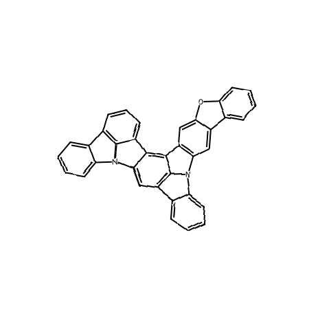 c1ccc2c(c1)oc1cc3c4c5c6cccc7c8ccccc8n(c5cc5c8ccccc8n(c3cc12)c54)c76